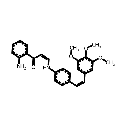 COc1cc(/C=C\c2ccc(N/C=C\C(=O)c3ccccc3N)cc2)cc(OC)c1OC